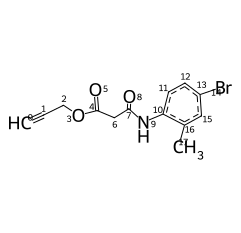 C#CCOC(=O)CC(=O)Nc1ccc(Br)cc1C